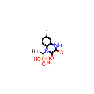 CC(n1c(=O)c(=O)[nH]c2cc(I)ccc21)P(=O)(O)O